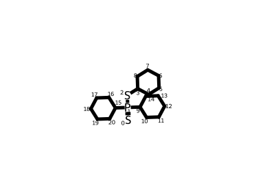 S=P(SC1CCCCC1)(C1CCCCC1)C1CCCCC1